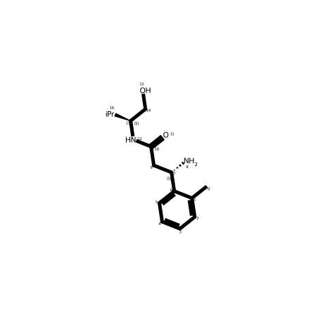 Cc1ccccc1[C@@H](N)CC(=O)N[C@H](CO)C(C)C